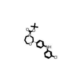 CC(C)(C)OC(=O)N1CCCO[C@@H](c2ccc(Nc3cccc(Cl)c3)cc2)C1